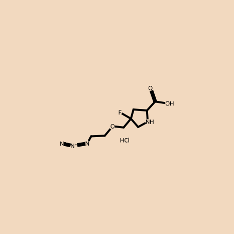 Cl.[N-]=[N+]=NCCOCC1(F)CNC(C(=O)O)C1